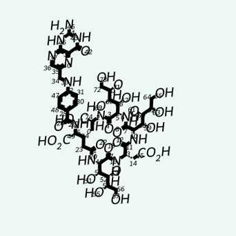 C[C@H](NC(=O)[C@@H](NC(=O)[C@@H](NC(=O)[C@H](CC(=O)O)NC(=O)[C@@H](NC(=O)CC[C@H](NC(=O)c1ccc(NCc2cnc3c(n2)C(=O)NC(N)N3)cc1)C(=O)O)[C@@H](O)[C@H](O)[C@H](O)CO)[C@@H](O)[C@H](O)[C@H](O)CO)[C@@H](O)[C@H](O)[C@H](O)CO)C(=O)O